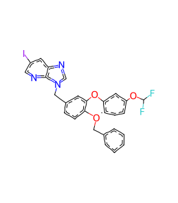 FC(F)Oc1cc[c]c(Oc2cc(Cn3cnc4cc(I)cnc43)ccc2OCc2ccccc2)c1